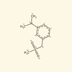 CN(C)c1cccc(CS(C)(=O)=O)c1